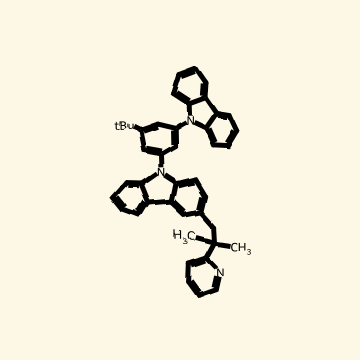 CC(C)(C)c1cc(-n2c3ccccc3c3ccccc32)cc(-n2c3ccccc3c3cc(CC(C)(C)c4ccccn4)ccc32)c1